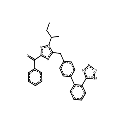 CCC(C)n1nc(C(=O)c2ccccc2)nc1Cc1ccc(-c2ccccc2-c2nnn[nH]2)cc1